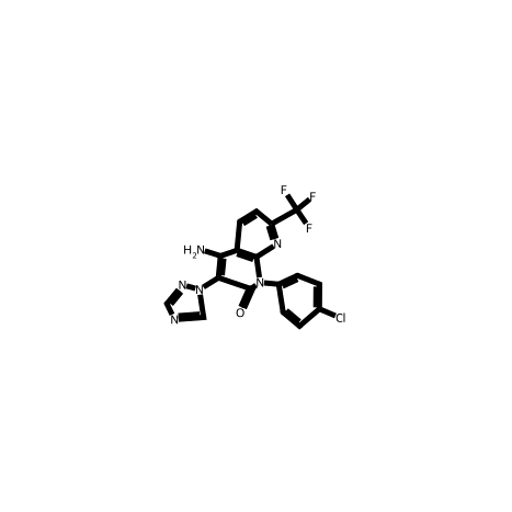 Nc1c(-n2cncn2)c(=O)n(-c2ccc(Cl)cc2)c2nc(C(F)(F)F)ccc12